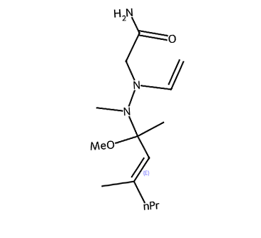 C=CN(CC(N)=O)N(C)C(C)(/C=C(\C)CCC)OC